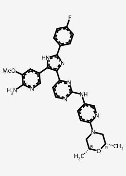 COc1cc(-c2[nH]c(-c3ccc(F)cc3)nc2-c2ccnc(Nc3ccc(N4C[C@@H](C)O[C@@H](C)C4)nc3)n2)cnc1N